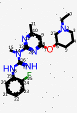 CCN1CCCC(Oc2cc(C)nc(N(C)C(=N)Nc3ccccc3F)n2)C1